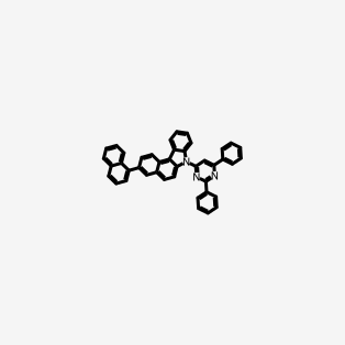 c1ccc(-c2cc(-n3c4ccccc4c4c5ccc(-c6cccc7ccccc67)cc5ccc43)nc(-c3ccccc3)n2)cc1